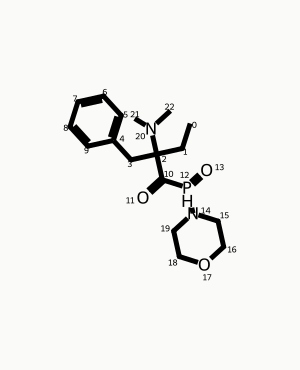 CCC(Cc1ccccc1)(C(=O)[PH](=O)N1CCOCC1)N(C)C